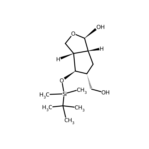 CC(C)(C)[Si](C)(C)O[C@@H]1[C@@H](CO)C[C@@H]2[C@H]1CO[C@H]2O